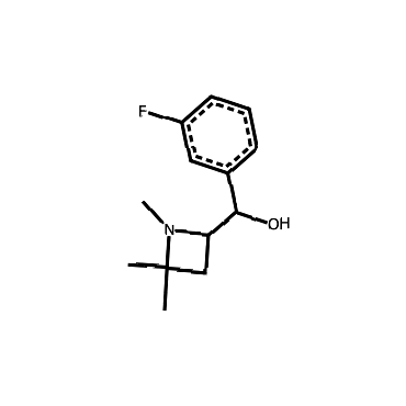 CN1C(C(O)c2cccc(F)c2)CC1(C)C